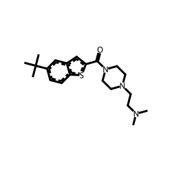 CN(C)CCN1CCN(C(=O)c2cc3cc(C(C)(C)C)ccc3s2)CC1